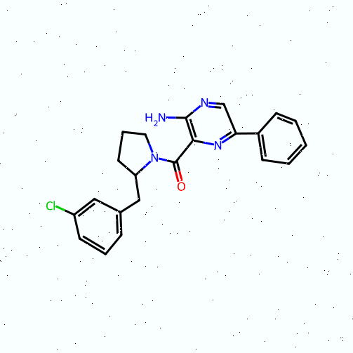 Nc1ncc(-c2ccccc2)nc1C(=O)N1CCCC1Cc1cccc(Cl)c1